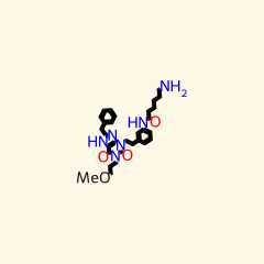 COCCCn1c(=O)c2[nH]c(Cc3ccccc3)nc2n(CCc2cccc(NC(=O)CCCCCN)c2)c1=O